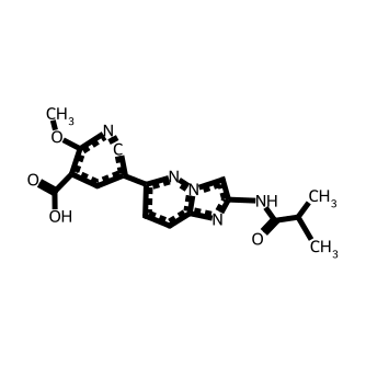 COc1ncc(-c2ccc3nc(NC(=O)C(C)C)cn3n2)cc1C(=O)O